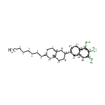 CCCCCCCC1CCC2CC(c3ccc4c(F)c(Cl)c(F)cc4c3)CCC2C1